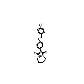 O=c1n(-c2ccc(OCc3ccc(Cl)cc3)cc2)c(=O)n2n1CCCCC2